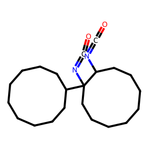 O=C=NC1CCCCCCCCC1(N=C=O)C1CCCCCCCCC1